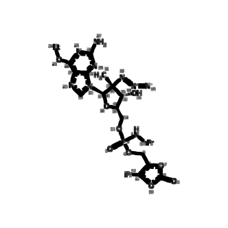 CCCNP(=O)(OCc1oc(=O)oc1C(C)C)OC[C@H]1O[C@@H](n2cnc3c(OCC)nc(N)nc32)[C@](C)(N=[N+]=[N-])[C@@H]1O